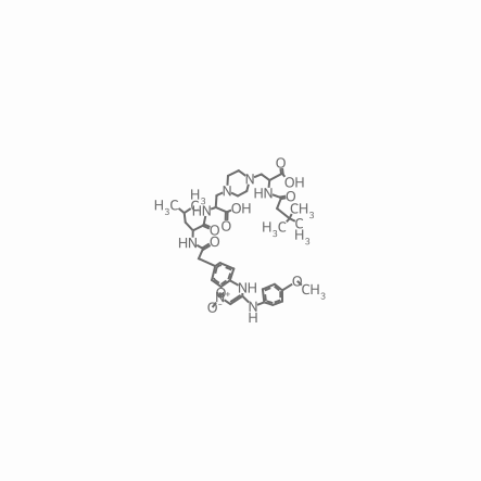 COc1ccc(N/C(=C/[N+](=O)[O-])Nc2ccc(CC(=O)NC(CC(C)C)C(=O)NC(CN3CCN(CC(NC(=O)CC(C)(C)C)C(=O)O)CC3)C(=O)O)cc2)cc1